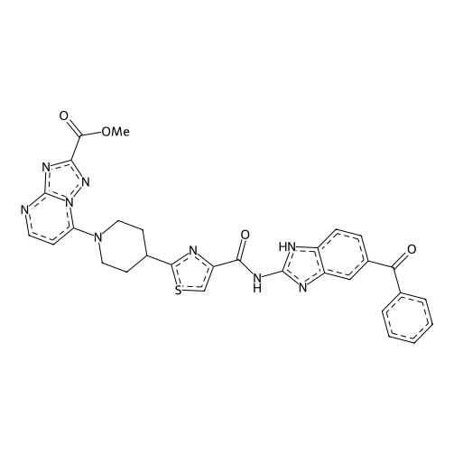 COC(=O)c1nc2nccc(N3CCC(c4nc(C(=O)Nc5nc6cc(C(=O)c7ccccc7)ccc6[nH]5)cs4)CC3)n2n1